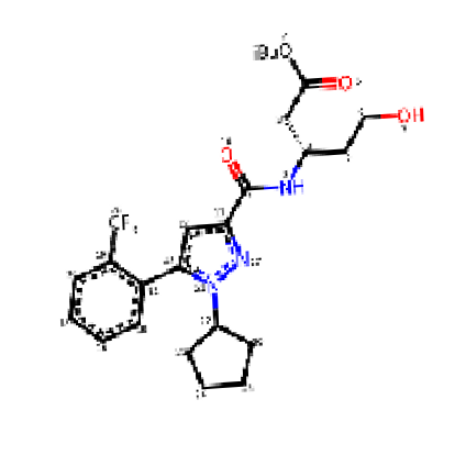 CC(C)COC(=O)C[C@H](CCO)NC(=O)c1cc(-c2ccccc2C(F)(F)F)n(C2CCCC2)n1